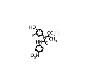 C[C@@H](C(=O)O)N(C(=O)Nc1ccc([N+](=O)[O-])cc1)c1ccc(O)c(I)c1